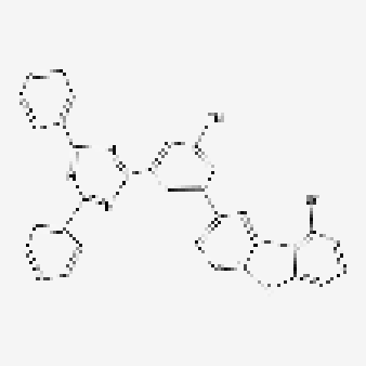 N#Cc1cc(-c2ccc3sc4cccc(Br)c4c3c2)cc(-c2nc(-c3ccccc3)nc(-c3ccccc3)n2)c1